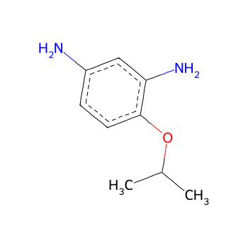 CC(C)Oc1ccc(N)cc1N